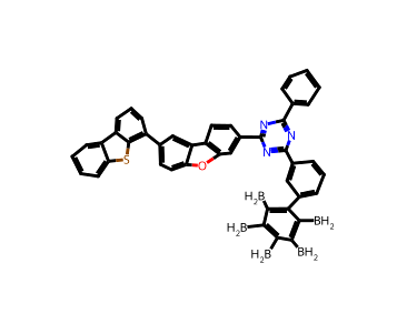 Bc1c(B)c(B)c(-c2cccc(-c3nc(-c4ccccc4)nc(-c4ccc5c(c4)oc4ccc(-c6cccc7c6sc6ccccc67)cc45)n3)c2)c(B)c1B